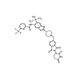 CC(C)(O)c1cc2nn(C3CCN(Cc4ccc5c(c4)C(=O)N(N4CCC(=O)NC4=O)C5=O)CC3)cc2cc1NC(=O)c1cccc(C(F)(F)F)n1